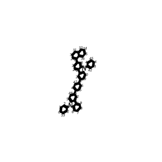 c1ccc(-n2c3ccccc3c3cc(-c4ccc(-c5ccc6c(c5)c5ccc(-c7cccc8ccccc78)cc5n6-c5ccccc5)cc4)ccc32)cc1